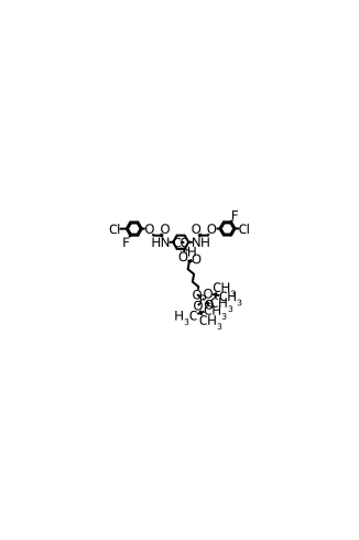 CC(C)(C)OP(=O)(OCCCCC(=O)O[C@H]1CC2(NC(=O)COc3ccc(Cl)c(F)c3)CCC1(NC(=O)COc1ccc(Cl)c(F)c1)CC2)OC(C)(C)C